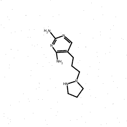 Nc1ncc(CCCN2CCCN2)c(N)n1